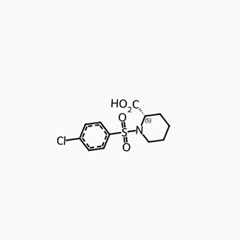 O=C(O)[C@@H]1CCCCN1S(=O)(=O)c1ccc(Cl)cc1